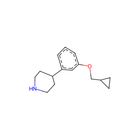 c1cc(OCC2CC2)cc(C2CCNCC2)c1